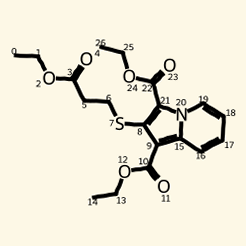 CCOC(=O)CCSc1c(C(=O)OCC)c2ccccn2c1C(=O)OCC